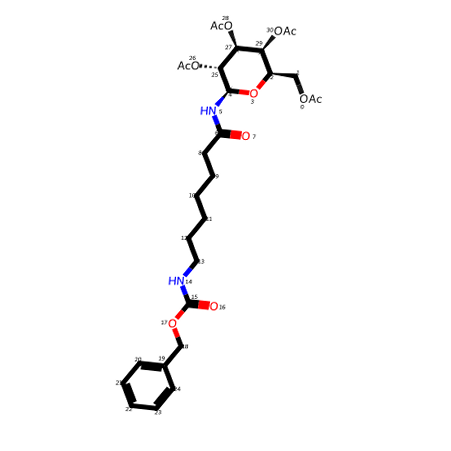 CC(=O)OC[C@H]1O[C@@H](NC(=O)CCCCCCNC(=O)OCc2ccccc2)[C@H](OC(C)=O)[C@@H](OC(C)=O)[C@H]1OC(C)=O